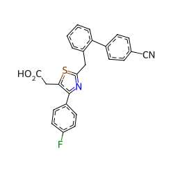 N#Cc1ccc(-c2ccccc2Cc2nc(-c3ccc(F)cc3)c(CC(=O)O)s2)cc1